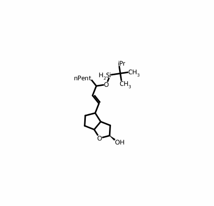 CCCCCC(/C=C/C1CCC2O[C@H](O)CC12)O[SiH2]C(C)(C)C(C)C